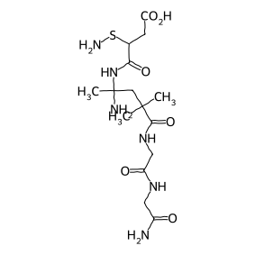 CC(N)(CC(C)(C)C(=O)NCC(=O)NCC(N)=O)NC(=O)C(CC(=O)O)SN